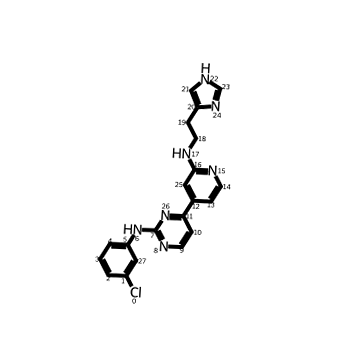 Clc1cccc(Nc2nccc(-c3ccnc(NCCc4c[nH]cn4)c3)n2)c1